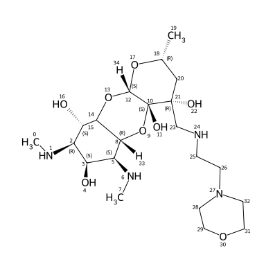 CN[C@@H]1[C@H](O)[C@H](NC)[C@H]2O[C@]3(O)[C@H](OC2[C@H]1O)O[C@H](C)C[C@@]3(O)CNCCN1CCOCC1